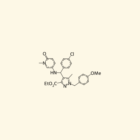 CCOC(=O)c1nn(Cc2ccc(OC)cc2)c(C)c1C(Nc1ccc(=O)n(C)c1)c1ccc(Cl)cc1